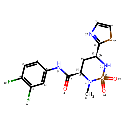 CN1[C@@H](C(=O)Nc2ccc(F)c(Br)c2)C[C@@H](c2nccs2)NS1(=O)=O